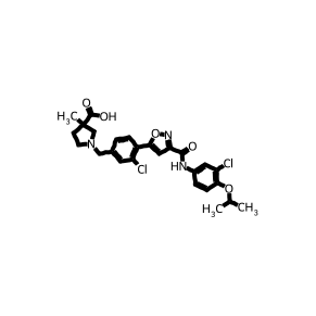 CC(C)Oc1ccc(NC(=O)c2cc(-c3ccc(CN4CCC(C)(C(=O)O)C4)cc3Cl)on2)cc1Cl